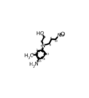 Cc1cc(N(CCO)CCCN=O)ccc1N